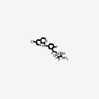 C[C@H](CS(=O)(=O)[C@@](C)(F)C(=N)N)c1cc(Nc2nccc3cc(Cl)cnc23)ccc1F